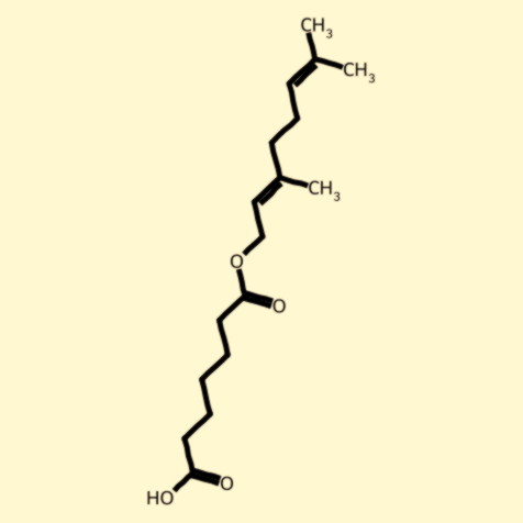 CC(C)=CCC/C(C)=C/COC(=O)CCCCCC(=O)O